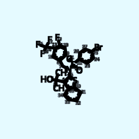 CC(C)(O)c1c(N(Cc2ccc(F)c(C(F)(F)F)c2)S(=O)(=O)c2ccc(Br)cc2)sc2ccccc12